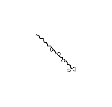 CCCCCCCCOCCOCCOCCCC(=O)OC